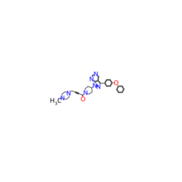 CN1CCN(CC#CC(=O)N2CCC(n3nc(-c4ccc(Oc5ccccc5)cc4)c4cncnc43)CC2)CC1